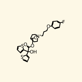 O=C(OC1C[N+]2(CCCOc3ccc(F)cc3)CCC1CC2)C(O)(c1cccs1)c1cccs1